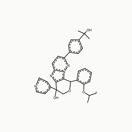 CC(C)(O)c1ccc(-c2ccc3nc4c(n3n2)C(c2ccccc2OC(F)F)OCC4(O)c2ccncc2)cc1